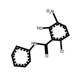 O=C(Nc1ccccc1)c1c(Cl)ccc([N+](=O)[O-])c1O